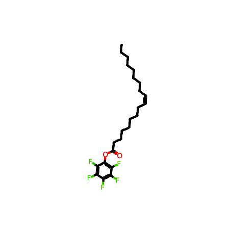 CCCCCCCC/C=C\CCCCCCCC(=O)Oc1c(F)c(F)c(F)c(F)c1F